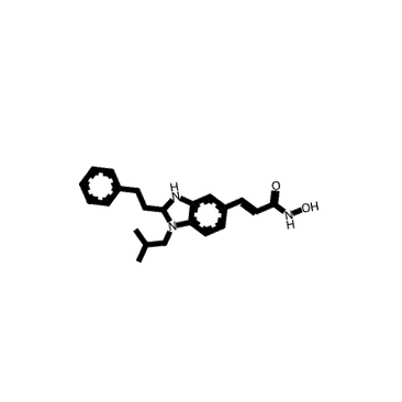 CC(C)CN1c2ccc(/C=C/C(=O)NO)cc2NC1CCc1ccccc1